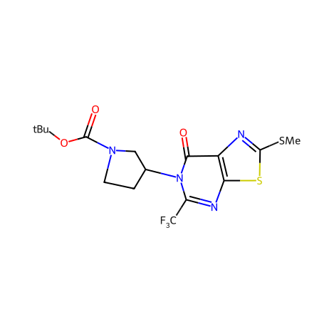 CSc1nc2c(=O)n(C3CCN(C(=O)OC(C)(C)C)C3)c(C(F)(F)F)nc2s1